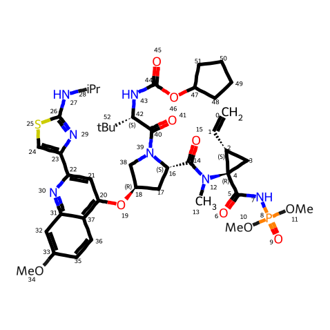 C=C[C@@H]1C[C@@]1(C(=O)NP(=O)(OC)OC)N(C)C(=O)[C@@H]1C[C@@H](Oc2cc(-c3csc(NC(C)C)n3)nc3cc(OC)ccc23)CN1C(=O)[C@@H](NC(=O)OC1CCCC1)C(C)(C)C